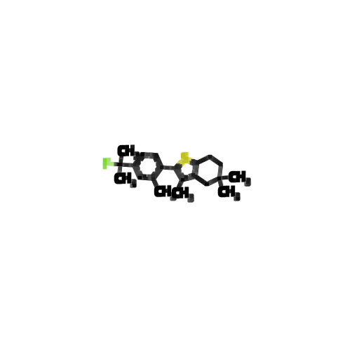 Cc1cc(C(C)(C)F)ccc1-c1sc2c(c1C)CC(C)(C)CC2